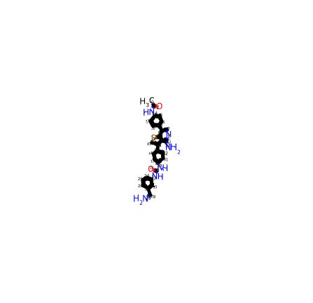 CC(=O)Nc1ccc(-c2cnc(N)c3c(-c4ccc(NC(=O)Nc5cccc(CN)c5)cc4)csc23)cc1